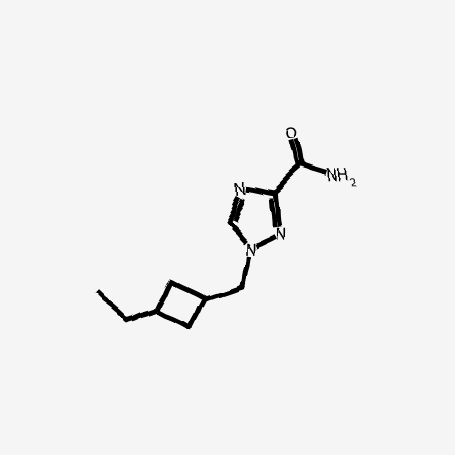 CCC1CC(Cn2cnc(C(N)=O)n2)C1